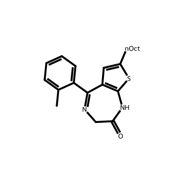 CCCCCCCCc1cc2c(s1)NC(=O)CN=C2c1ccccc1C